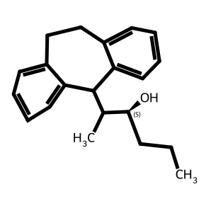 CCC[C@H](O)C(C)C1c2ccccc2CCc2ccccc21